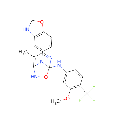 COc1cc(NC23N=CC(C)=C(NO2)N3c2ccc3c(c2)NCO3)ccc1C(F)(F)F